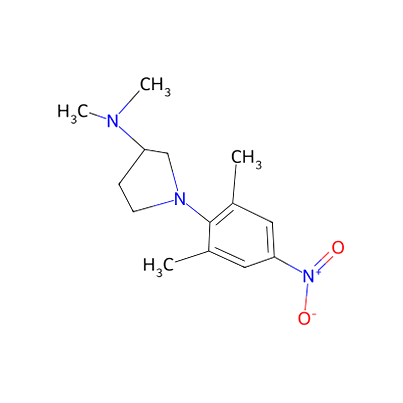 Cc1cc([N+](=O)[O-])cc(C)c1N1CCC(N(C)C)C1